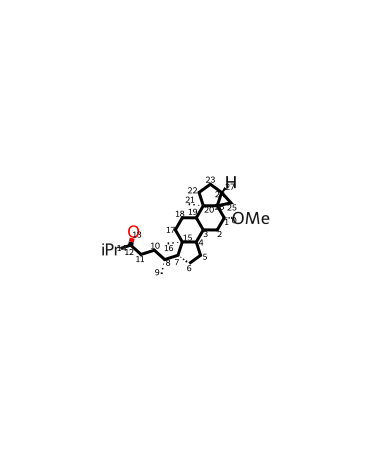 CO[C@@H]1CC2C3CC[C@H]([C@H](C)CCC(=O)C(C)C)[C@@]3(C)CCC2[C@@]2(C)CC[C@@H]3CC312